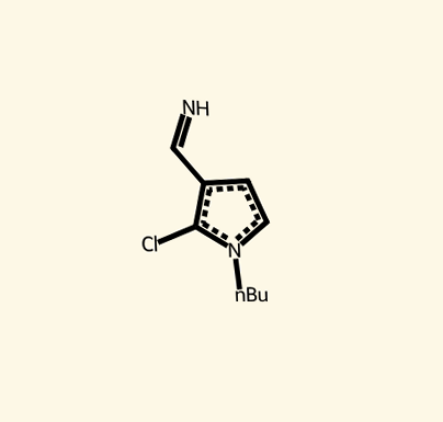 CCCCn1ccc(C=N)c1Cl